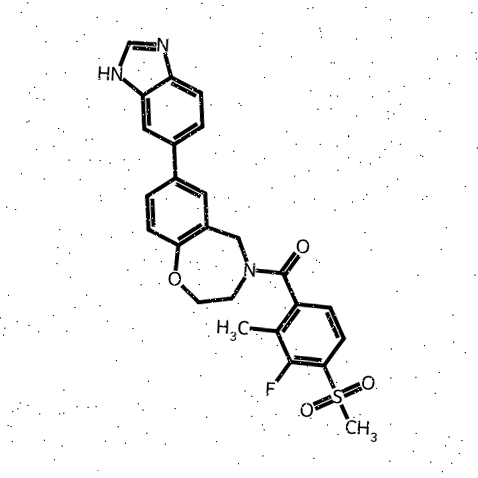 Cc1c(C(=O)N2CCOc3ccc(-c4ccc5nc[nH]c5c4)cc3C2)ccc(S(C)(=O)=O)c1F